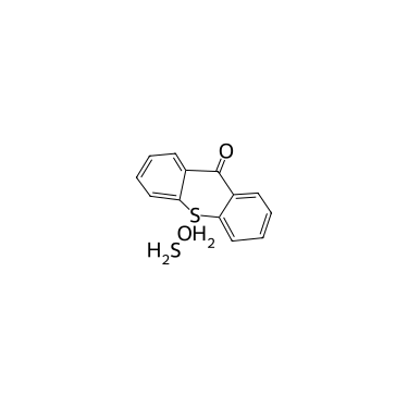 O.O=c1c2ccccc2sc2ccccc12.S